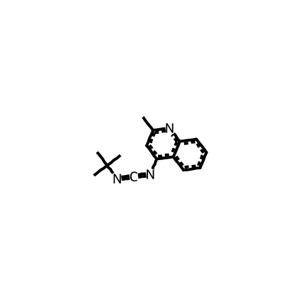 Cc1cc(N=C=NC(C)(C)C)c2ccccc2n1